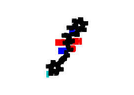 C=C([C@H](O)[C@@H](O)C(=O)NCC#Cc1ccc(F)cc1)N1Cc2ccccc2C1